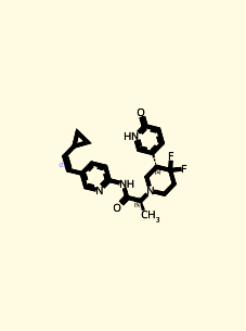 C[C@@H](C(=O)Nc1ccc(/C=C\C2CC2)cn1)N1CCC(F)(F)[C@@H](c2ccc(=O)[nH]c2)C1